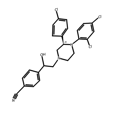 N#Cc1ccc(C(O)CN2CCN(c3ccc(Cl)cc3Cl)[C@H](c3ccc(Cl)cc3)C2)cc1